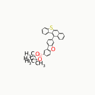 CC1(C)OB(c2ccc3oc4cc(-c5c6ccccc6cc6sc7ccccc7c56)ccc4c3c2)OC1(C)C